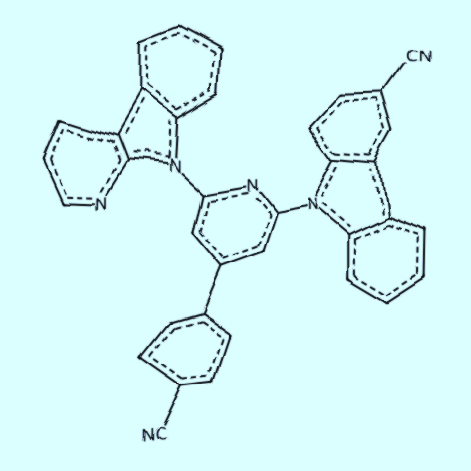 N#Cc1ccc(-c2cc(-n3c4ccccc4c4cc(C#N)ccc43)nc(-n3c4ccccc4c4cccnc43)c2)cc1